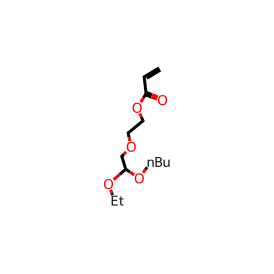 C=CC(=O)OCCOCC(OCC)OCCCC